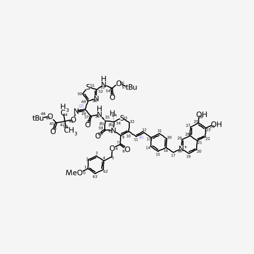 COc1ccc(COC(=O)C2=C(/C=C/c3ccc(C[n+]4ccc5cc(O)c(O)cc5c4)cc3)CS[C@@H]3[C@H](NC(=O)/C(=N\OC(C)(C)C(=O)OC(C)(C)C)c4csc(NC(=O)OC(C)(C)C)n4)C(=O)N23)cc1